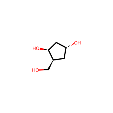 OC[C@@H]1C[C@@H](O)C[C@@H]1O